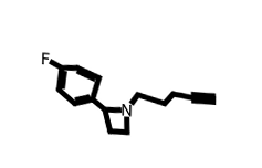 C#CCCCN1CCC1c1ccc(F)cc1